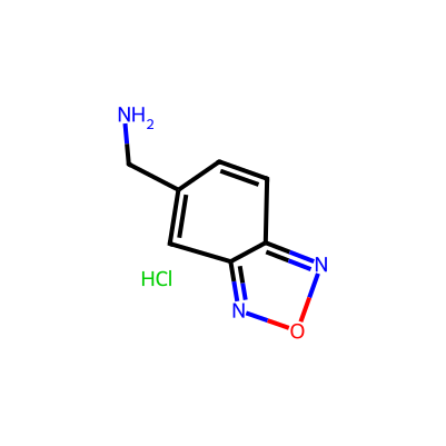 Cl.NCc1ccc2nonc2c1